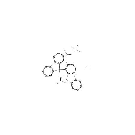 C[C](C)=[Zr+2][C]1(c2c(OC(C)O[Si](C)(C)C)ccc3c2Cc2ccccc2-3)c2ccccc2-c2ccccc21.[Cl-].[Cl-]